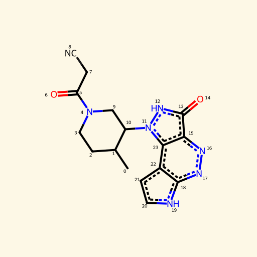 CC1CCN(C(=O)CC#N)CC1n1[nH]c(=O)c2nnc3[nH]ccc3c21